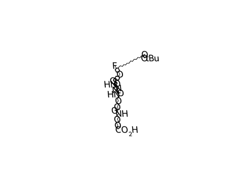 CC(C)(C)OC(=O)CCCCCCCCCCCCCc1cc(Oc2ccc(S(=O)(=O)Nc3cnc(C(=O)NCCOCCOCC(=O)NCCOCCOCC(=O)O)nc3)cc2)ccc1F